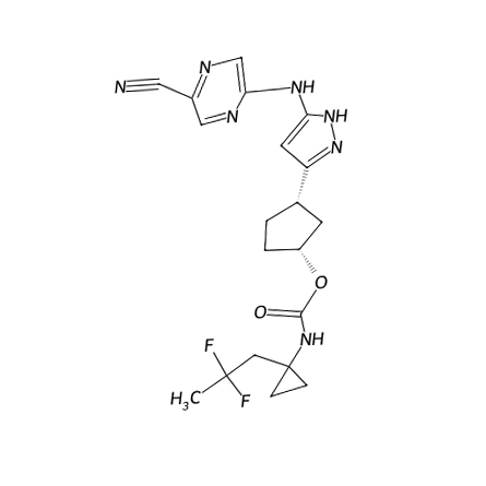 CC(F)(F)CC1(NC(=O)O[C@@H]2CC[C@H](c3cc(Nc4cnc(C#N)cn4)[nH]n3)C2)CC1